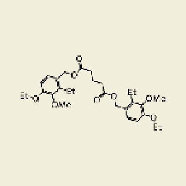 CCOc1ccc(COC(=O)CCCC(=O)OCc2ccc(OCC)c(OC)c2CC)c(CC)c1OC